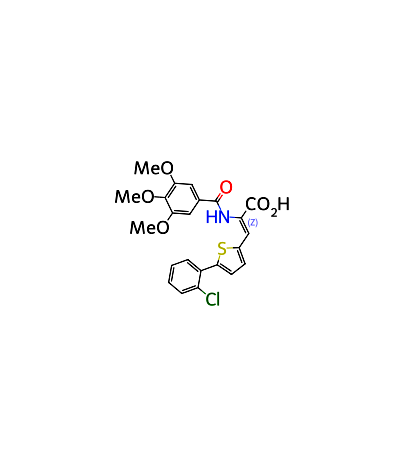 COc1cc(C(=O)N/C(=C\c2ccc(-c3ccccc3Cl)s2)C(=O)O)cc(OC)c1OC